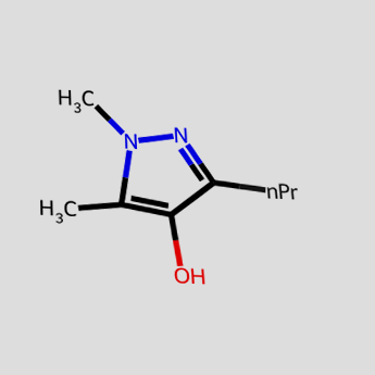 CCCc1nn(C)c(C)c1O